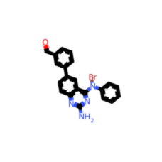 Nc1nc(N(Br)c2ccccc2)c2cc(-c3cccc(C=O)c3)ccc2n1